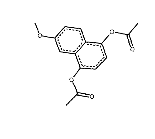 COc1ccc2c(OC(C)=O)ccc(OC(C)=O)c2c1